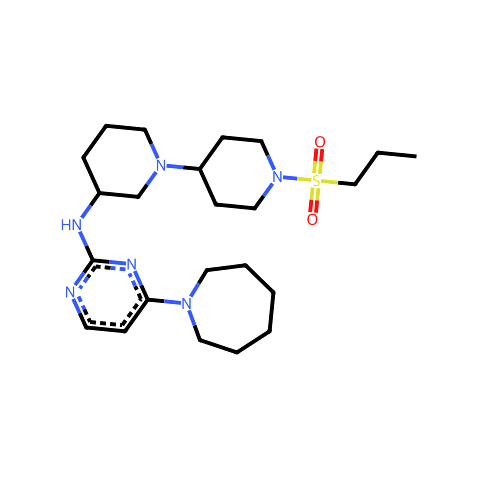 CCCS(=O)(=O)N1CCC(N2CCCC(Nc3nccc(N4CCCCCC4)n3)C2)CC1